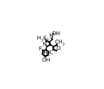 Cc1coc(C)c1-c1c(-c2ccc(O)cc2F)nn(C)c1/C=N/O